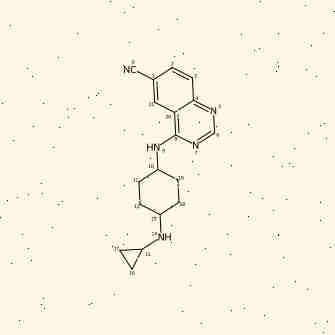 N#Cc1ccc2ncnc(NC3CCC(NC4CC4)CC3)c2c1